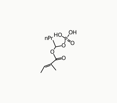 CC=C(C)C(=O)OC(CCC)OP(=O)(O)O